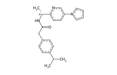 CC(C)c1ccc(CC(=O)N[C@H](C)c2ccc(-n3cccc3)cn2)cc1